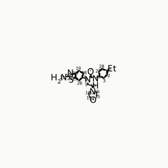 CCc1ccc(NC(=O)N(CCN2CCOCC2)c2ccc3nc(N)sc3c2)cc1